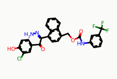 NN=C(C(=O)c1ccc(O)c(Cl)c1)c1ccc(COC(=O)Nc2cccc(C(F)(F)F)c2)c2ccccc12